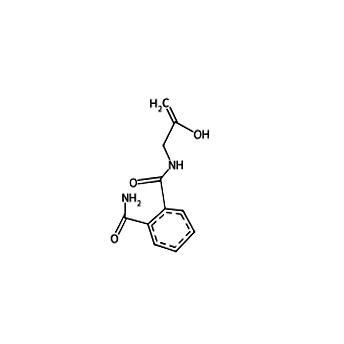 C=C(O)CNC(=O)c1ccccc1C(N)=O